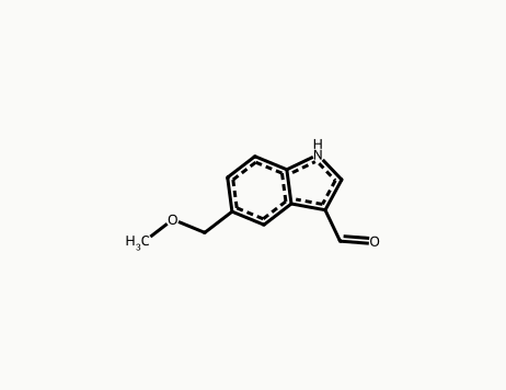 COCc1ccc2[nH]cc(C=O)c2c1